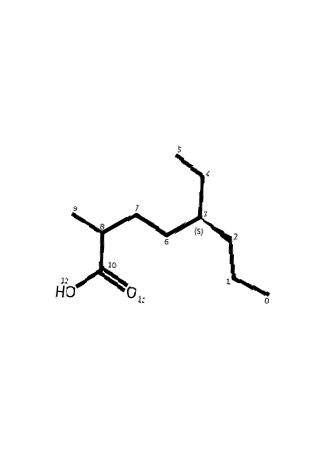 CCC[C@H](CC)CCC(C)C(=O)O